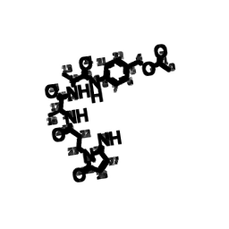 CC(=O)OCc1ccc(NC(=O)[C@H](C)NC(=O)[C@H](C)NC(=O)CCN2C(=N)C=CC2=O)cc1